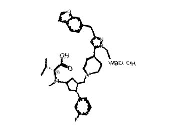 CCn1nc(Cc2ccc3ccoc3c2)cc1C1CCN(CC2CC(N(C)[C@@H](C(=O)O)C(C)C)CC2c2cccc(F)c2)CC1.Cl.Cl.Cl